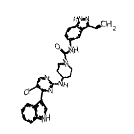 C=Cc1n[nH]c2ccc(NC(=O)N3CCC(Nc4ncc(Cl)c(-c5c[nH]c6ccccc56)n4)CC3)cc12